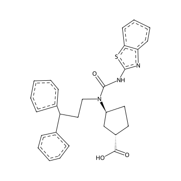 O=C(O)[C@H]1CC[C@H](N(CCC(c2ccccc2)c2ccccc2)C(=O)Nc2nc3ccccc3s2)C1